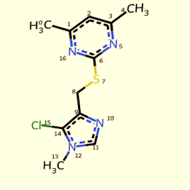 Cc1cc(C)nc(SCc2ncn(C)c2Cl)n1